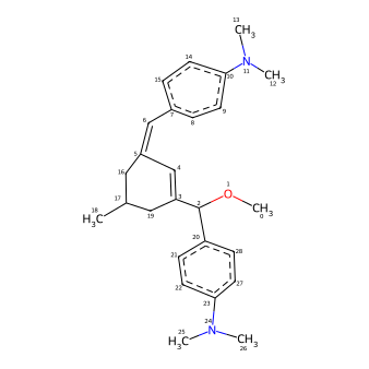 COC(C1=CC(=Cc2ccc(N(C)C)cc2)CC(C)C1)c1ccc(N(C)C)cc1